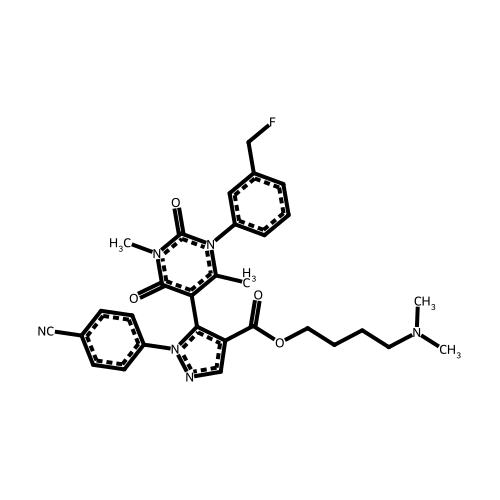 Cc1c(-c2c(C(=O)OCCCCN(C)C)cnn2-c2ccc(C#N)cc2)c(=O)n(C)c(=O)n1-c1cccc(CF)c1